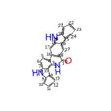 O=c1[nH]c2c(ccc3[nH]c4ccccc4c32)c2cc3[nH]c4ccccc4c3cc12